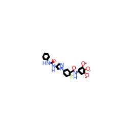 COc1cc(NC(=O)c2cc(-n3cc(NC(=O)Nc4ccccc4)cn3)ccc2F)cc(OC)c1OC